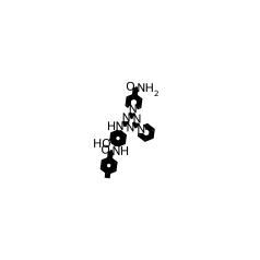 Cc1ccc(C(=O)Nc2ccc(Nc3nc(N4CCCCC4)nc(N4CCC(C(N)=O)CC4)n3)cc2O)cc1